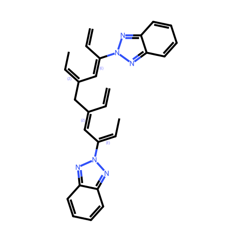 C=C/C(=C\C(=C/C)n1nc2ccccc2n1)CC(=C/C)/C=C(\C=C)n1nc2ccccc2n1